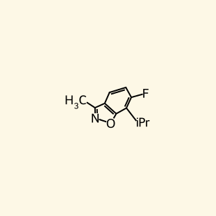 Cc1noc2c(C(C)C)c(F)ccc12